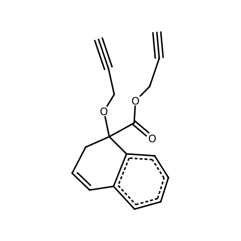 C#CCOC(=O)C1(OCC#C)CC=Cc2ccccc21